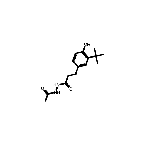 CC(=O)NNC(=O)CCc1ccc(O)c(C(C)(C)C)c1